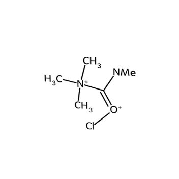 CNC(=[O+]Cl)[N+](C)(C)C